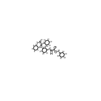 CN(Cc1ccccc1)C(=O)c1ccccc1-c1ccccc1CNC(=O)OCc1ccccc1